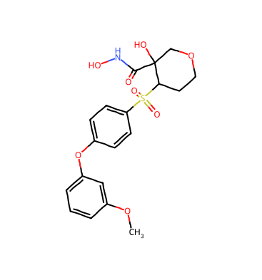 COc1cccc(Oc2ccc(S(=O)(=O)C3CCOCC3(O)C(=O)NO)cc2)c1